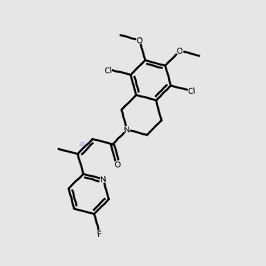 COc1c(Cl)c2c(c(Cl)c1OC)CN(C(=O)/C=C(/C)c1ccc(F)cn1)CC2